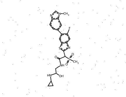 Cn1cnc2ccc(-c3cc4sc(C(C(=O)NCC(O)NC5CC5)S(C)(=O)=O)nc4cc3F)cc21